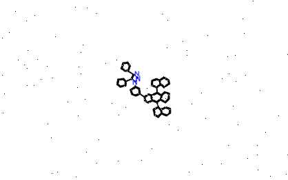 c1ccc(-c2nnn(-c3cccc(-c4ccc5c(-c6cccc7ccccc67)c6ccccc6c(-c6cccc7ccccc67)c5c4)c3)c2-c2ccccc2)cc1